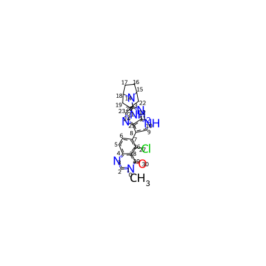 Cn1cnc2ccc(-c3c[nH]c4nc(N5C6CCC5CC(N)C6)cnc34)c(Cl)c2c1=O